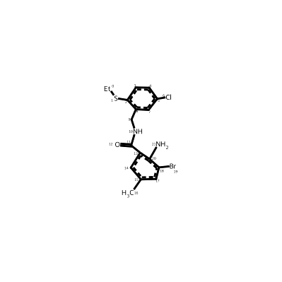 CCSc1ccc(Cl)cc1CNC(=O)c1cc(C)cc(Br)c1N